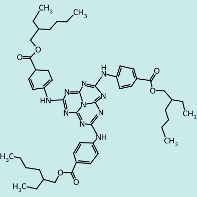 CCCCC(CC)COC(=O)c1ccc(NC2=NC3=NC(NC4=CCC(C(=O)OCC(CC)CCCC)C=C4)=NC4=NC(Nc5ccc(C(=O)OCC(CC)CCCC)cc5)=NC(=N2)N34)cc1